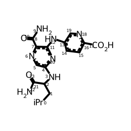 CC(C)CC(Nc1cnc(C(N)=O)c(Nc2ccc(C(=O)O)nc2)n1)C(N)=O